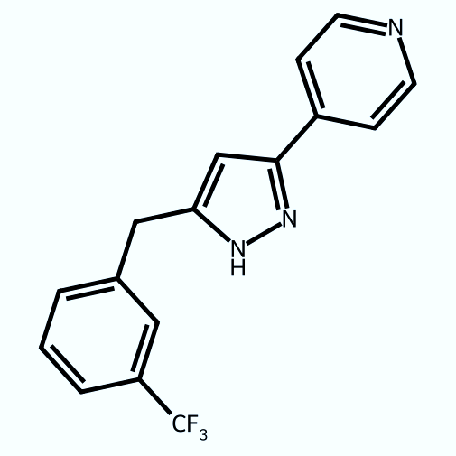 FC(F)(F)c1cccc(Cc2cc(-c3ccncc3)n[nH]2)c1